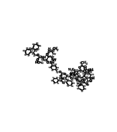 CC(=O)O[C@H]1C(=O)[C@@]2(C)C([C@H](OC(=O)c3ccccc3)[C@]3(O)C[C@H](OC(=O)[C@H](OC(=O)OCc4ccc(NN[C@@H](CC(C)C)C(=O)C(=O)[C@H](CO)NC(=O)OCC5c6ccccc6-c6ccccc65)cc4)[C@@H](NC(=O)c4ccccc4)c4ccccc4)C(C)=C1C3(C)C)[C@]1(OC(C)=O)CO[C@@H]1C[C@@H]2O